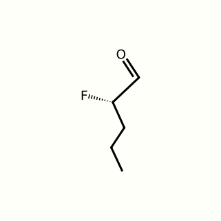 CCC[C@H](F)C=O